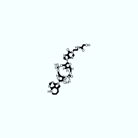 O=C(CO)NCCn1cnc2c(ncn2[C@@H]2O[C@@H]3COP(=O)(S)O[C@H]4[C@@H](O)[C@H](n5cc6c7c(ncnc75)NCCC6)O[C@@H]4COP(=O)(S)O[C@@H]2[C@@H]3F)c1=O